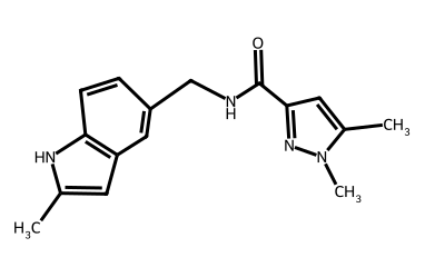 Cc1cc2cc(CNC(=O)c3cc(C)n(C)n3)ccc2[nH]1